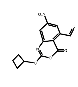 O=c1oc(OC2CCC2)nc2cc([N+](=O)[O-])cc(C=S)c12